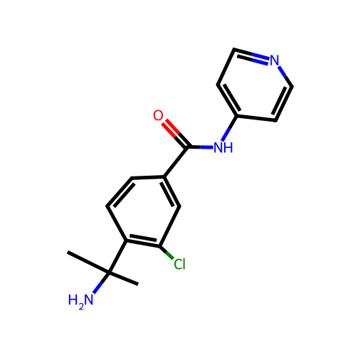 CC(C)(N)c1ccc(C(=O)Nc2ccncc2)cc1Cl